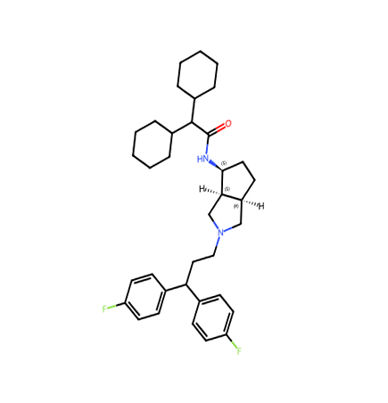 O=C(N[C@H]1CC[C@H]2CN(CCC(c3ccc(F)cc3)c3ccc(F)cc3)C[C@H]21)C(C1CCCCC1)C1CCCCC1